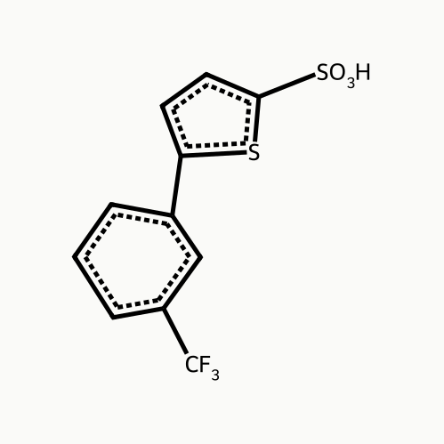 O=S(=O)(O)c1ccc(-c2cccc(C(F)(F)F)c2)s1